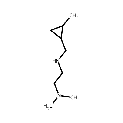 CC1CC1CNCCN(C)C